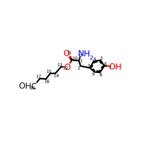 NC(Cc1ccc(O)cc1)C(=O)OCCCCCC=O